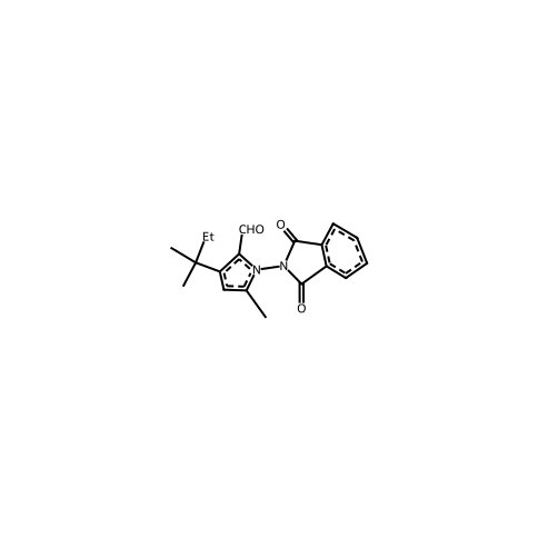 CCC(C)(C)c1cc(C)n(N2C(=O)c3ccccc3C2=O)c1C=O